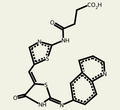 O=C(O)CCC(=O)Nc1ncc(C=C2SC(=Nc3ccc4ncccc4c3)NC2=O)s1